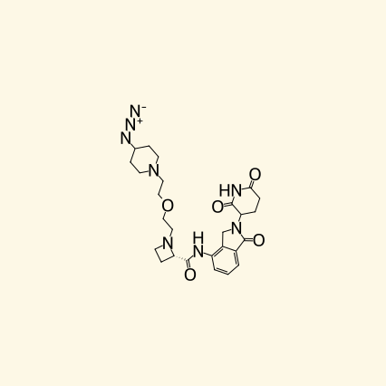 [N-]=[N+]=NC1CCN(CCOCCN2CC[C@H]2C(=O)Nc2cccc3c2CN(C2CCC(=O)NC2=O)C3=O)CC1